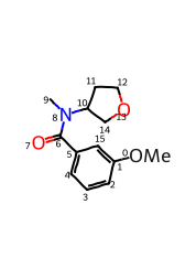 COc1cccc(C(=O)N(C)C2CCOC2)c1